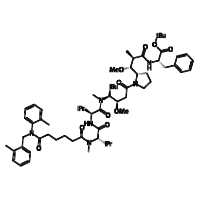 CC[C@H](C)[C@@H]([C@@H](CC(=O)N1CCC[C@H]1[C@H](OC)[C@@H](C)C(=O)N[C@@H](Cc1ccccc1)C(=O)OC(C)(C)C)OC)N(C)C(=O)[C@@H](NC(=O)[C@H](C(C)C)N(C)C(=O)CCCCC(=O)N(Cc1ccccc1C)c1ccccc1C)C(C)C